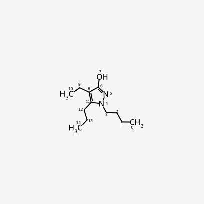 CCCCn1nc(O)c(CC)c1CCC